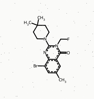 Cc1cc(Br)c2nc(N3CCC(C)(C)CC3)n(CF)c(=O)c2c1